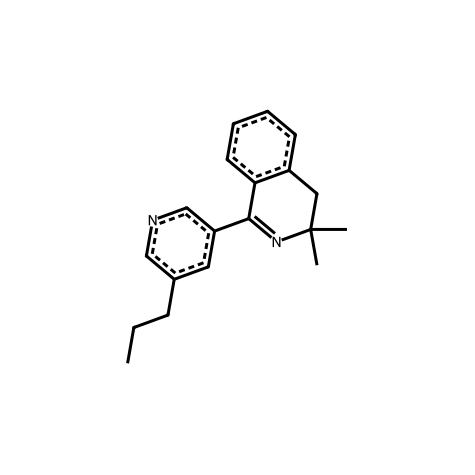 CCCc1cncc(C2=NC(C)(C)Cc3ccccc32)c1